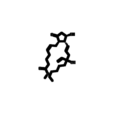 C=CC(O)(C/C=C/[C@H]1[C@H](O)CC(=O)[C@@H]1C/C=C\CCCC(=O)OC)CCCCCC